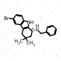 CC1(C)Cc2c([nH]c3ccc(Br)cc23)[C@H](NCc2ccccc2)C1